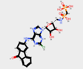 O=C1c2ccccc2-c2cc(Nc3nc(Cl)nc4c3ncn4[C@@H]3O[C@H](CNP(=O)(O)CP(=O)(O)O)C(O)C3O)ccc21